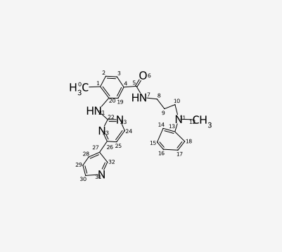 Cc1ccc(C(=O)NCCCN(C)c2ccccc2)cc1Nc1nccc(-c2cccnc2)n1